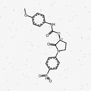 COc1ccc(NC(=O)O[C@H]2CCN(c3ccc([SH](=O)=O)cc3)C2=O)cc1